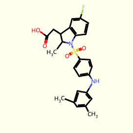 Cc1cc(C)cc(Nc2ccc(S(=O)(=O)N3c4ccc(F)cc4C(CC(=O)O)C3C)cc2)c1